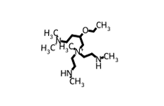 CCOC(CCN(C)C)C[N+](C)(CCNC)CCNC